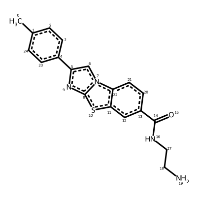 Cc1ccc(-c2cn3c(n2)sc2cc(C(=O)NCCN)ccc23)cc1